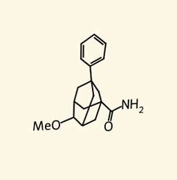 COC1C2CC3(C(N)=O)CC1CC(c1ccccc1)(C2)C3